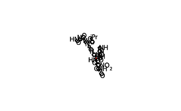 CC(C)Oc1ccccc1[C@@H]1CN([C@@H]2COCc3nc4c(cc32)OCCN4)CCN1C1CC2(CCN(c3ccc(C(=O)NS(=O)(=O)c4cc5c(c([N+](=O)[O-])c4)N[C@H](C4CCOCC4)CO5)c(N4c5cc6cc[nH]c6nc5O[C@H]5COCC[C@@H]54)c3)CC2)C1